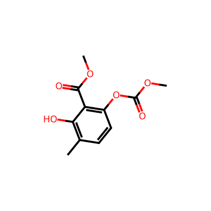 COC(=O)Oc1ccc(C)c(O)c1C(=O)OC